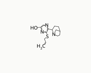 C=CCSc1nc(O)cnc1C1CCC2CCN1C2